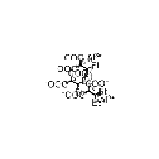 CCC(CC)C(C(=O)[O-])C(=O)[O-].CCC(CC)C(C(=O)[O-])C(=O)[O-].CCC(CC)C(C(=O)[O-])C(=O)[O-].[Al+3].[Al+3]